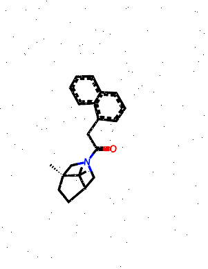 CC1(C)C2CC[C@@]1(C)CN(C(=O)Cc1cccc3ccccc13)C2